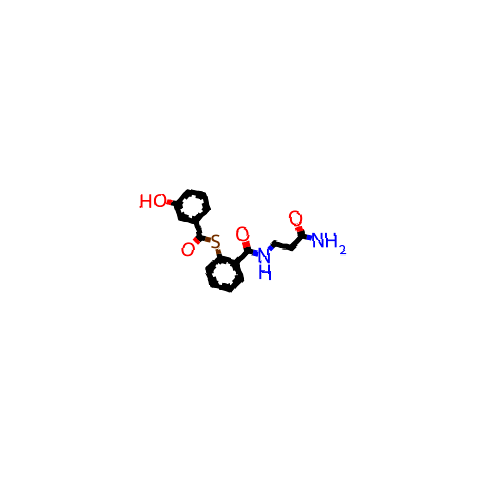 NC(=O)CCNC(=O)c1ccccc1SC(=O)c1cccc(O)c1